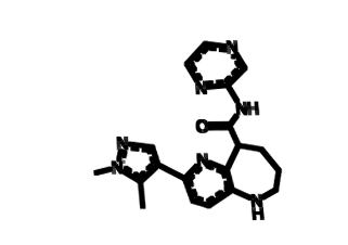 Cc1c(-c2ccc3c(n2)C(C(=O)Nc2cnccn2)CCCN3)cnn1C